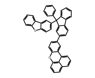 c1ccc(C2(c3ccc4oc5ccccc5c4c3)c3ccccc3-c3ccc(-c4ccc5c(c4)-c4cccc6cccc(c46)O5)cc32)cc1